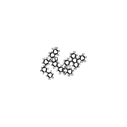 c1ccc(-c2cccc(-c3cccc(N4c5ccc(-c6ccc7c(c6)N(c6cccc(-c8c9ccccc9c(-c9ccccc9)c9ccccc89)c6)c6ccccc6S7)cc5Oc5c4ccc4ccccc54)c3)c2)cc1